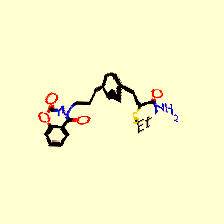 CCSC(Cc1ccc(CCCn2c(=O)oc3ccccc3c2=O)cc1)C(N)=O